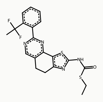 CCSC(=O)Nc1nc2c(s1)-c1nc(-c3ccccc3C(C)(F)F)ncc1CC2